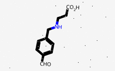 O=Cc1ccc(CNCCC(=O)O)cc1